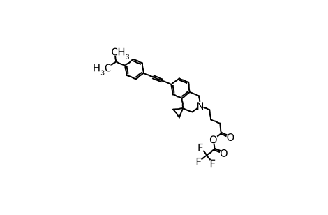 CC(C)c1ccc(C#Cc2ccc3c(c2)C2(CC2)CN(CCCC(=O)OC(=O)C(F)(F)F)C3)cc1